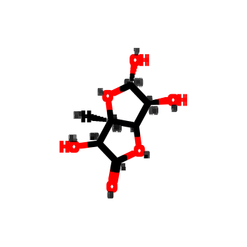 O=C1OC2[C@H](O[C@H](O)[C@H]2O)C1O